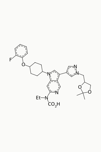 CCN(C(=O)O)c1cc2c(cn1)c(-c1cnn(CC3COC(C)(C)O3)c1)cn2C1CCC(Oc2ccccc2F)CC1